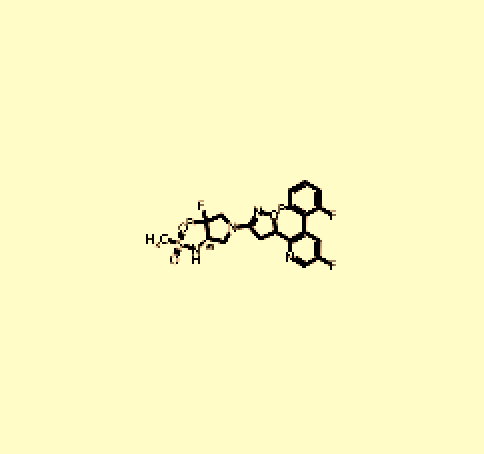 CS(=O)(=O)N[C@@H]1CN(C2=NOC(c3ncc(F)cc3-c3c(F)cccc3F)C2)CC1(F)F